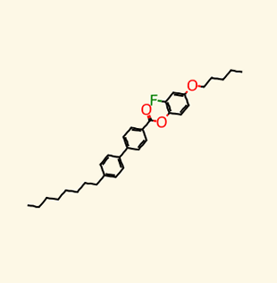 CCCCCCCCc1ccc(-c2ccc(C(=O)Oc3ccc(OCCCCC)cc3F)cc2)cc1